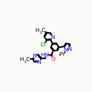 Cc1cnc(-c2cc(C(=O)NCc3cnc(C)cn3)cc(-c3ccnn3C(C)C)c2)c(Cl)c1